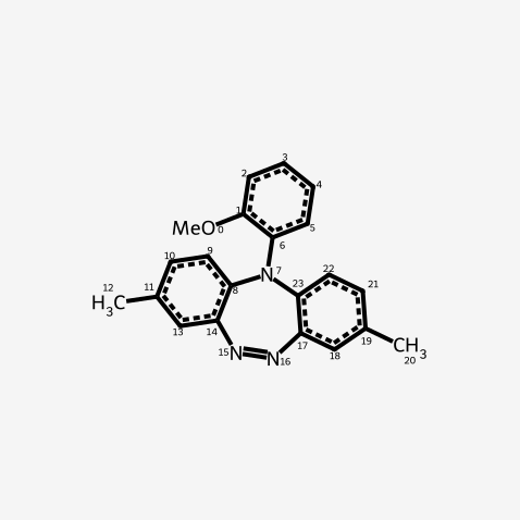 COc1ccccc1N1c2ccc(C)cc2N=Nc2cc(C)ccc21